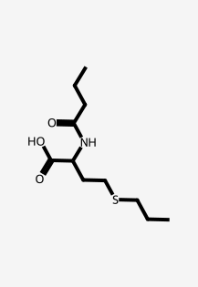 CCCSCCC(NC(=O)CCC)C(=O)O